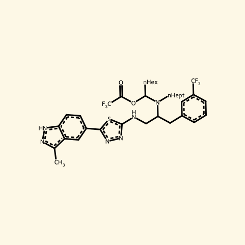 CCCCCCCN(C(CNc1nnc(-c2ccc3[nH]nc(C)c3c2)s1)Cc1cccc(C(F)(F)F)c1)C(CCCCCC)OC(=O)C(F)(F)F